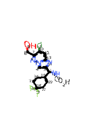 O=C(O)NC(c1cn2nc(CO)c(Cl)cc2n1)C1CCC(F)(F)CC1